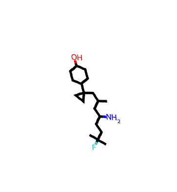 CC(CC(N)CCC(C)(C)F)CC1(C2CCC(O)CC2)CC1